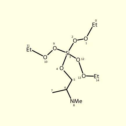 CCOO[Si](OCC(C)NC)(OOCC)OOCC